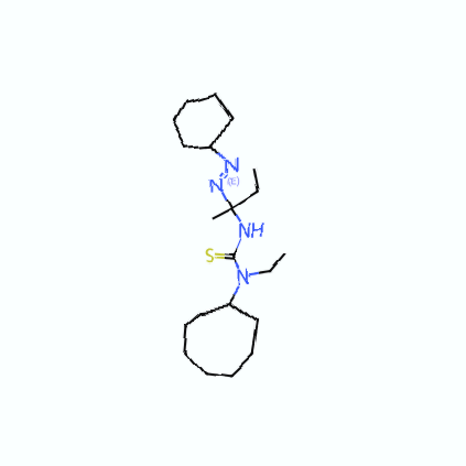 CCN(C(=S)NC(C)(CC)/N=N/C1CCCCC1)C1CCCCCCC1